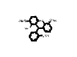 COc1ccccc1C(c1cccc(OC)c1OC)c1cccc(OC)c1OC